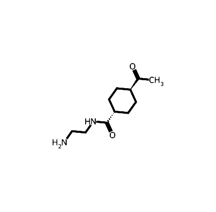 CC(=O)[C@H]1CC[C@H](C(=O)NCCN)CC1